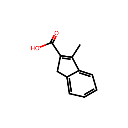 CC1=C(C(=O)O)Cc2ccccc21